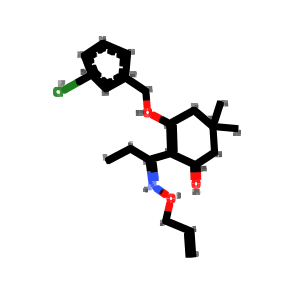 C=CCO/N=C(/CC)C1=C(OCc2cccc(Cl)c2)CC(C)(C)CC1=O